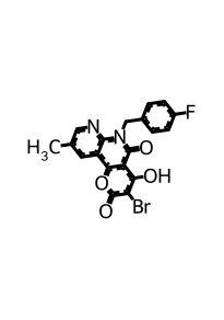 Cc1cnc2c(c1)c1oc(=O)c(Br)c(O)c1c(=O)n2Cc1ccc(F)cc1